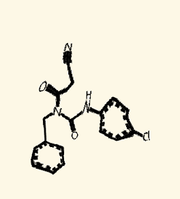 N#CCC(=O)N(Cc1ccccc1)C(=O)Nc1ccc(Cl)cc1